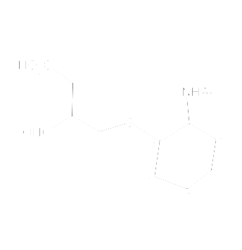 CC(=O)NC1CCCCC1SCC(C=O)CC(=O)O